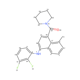 Cc1cccc2c(Nc3cccc(F)c3F)ccc(C(=O)N3CCCCC3)c12